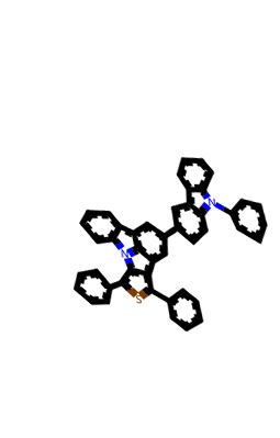 c1ccc(-c2sc(-c3ccccc3)c3c2c2cc(-c4ccc5c(c4)c4ccccc4n5-c4ccccc4)cc4c5ccccc5n3c42)cc1